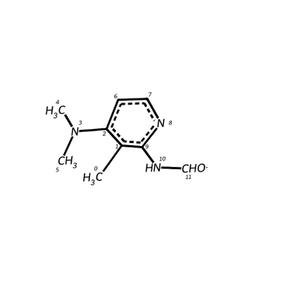 Cc1c(N(C)C)ccnc1N[C]=O